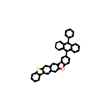 C1=c2c(-c3ccccc3)c3ccccc3c(-c3ccc4oc5cc6cc7c(cc6cc5c4c3)sc3ccccc37)c2=CCC1